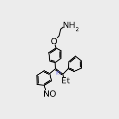 CC/C(=C(/c1ccc(OCCN)cc1)c1cccc(N=O)c1)c1ccccc1